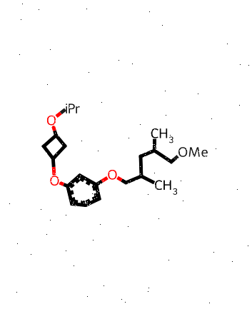 COCC(C)CC(C)COc1cccc(OC2CC(OC(C)C)C2)c1